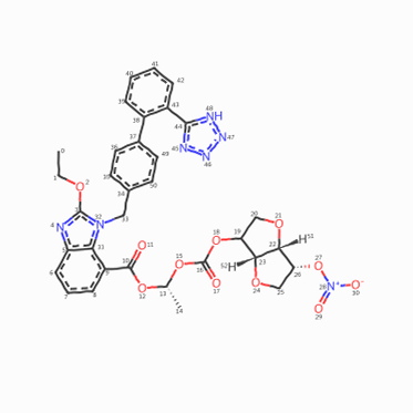 CCOc1nc2cccc(C(=O)O[C@@H](C)OC(=O)OC3CO[C@H]4[C@@H]3OC[C@H]4O[N+](=O)[O-])c2n1Cc1ccc(-c2ccccc2-c2nnn[nH]2)cc1